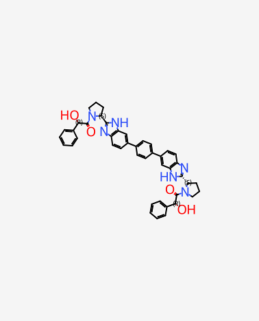 O=C([C@H](O)c1ccccc1)N1CCC[C@H]1c1nc2ccc(-c3ccc(-c4ccc5nc([C@@H]6CCCN6C(=O)[C@H](O)c6ccccc6)[nH]c5c4)cc3)cc2[nH]1